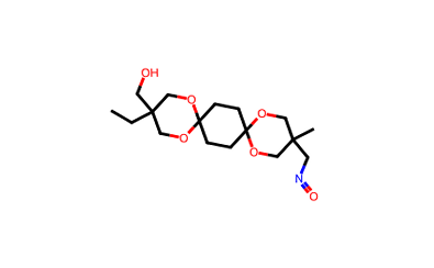 CCC1(CO)COC2(CCC3(CC2)OCC(C)(CN=O)CO3)OC1